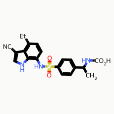 CCc1ccc(NS(=O)(=O)c2ccc(C(C)NC(=O)O)cc2)c2[nH]cc(C#N)c12